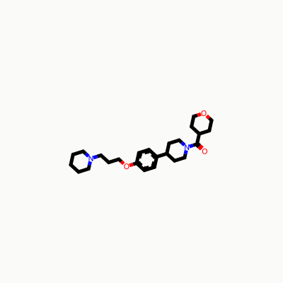 O=C(C1CCOCC1)N1CCC(c2ccc(OCCCN3CCCCC3)cc2)CC1